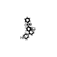 Cl.O=S(=O)(c1ccccc1)c1ccc2c(c1)OCCC2N1CCNCC1